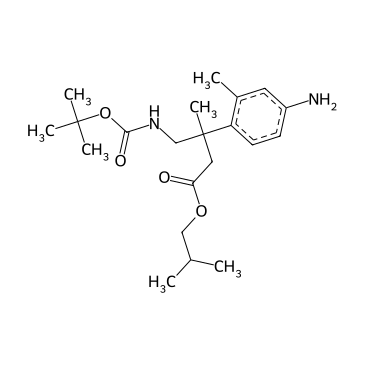 Cc1cc(N)ccc1C(C)(CNC(=O)OC(C)(C)C)CC(=O)OCC(C)C